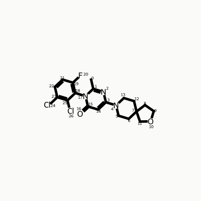 Cc1nc(N2CCC3(CCOC3)CC2)cc(=O)n1-c1c(F)ccc(Cl)c1Cl